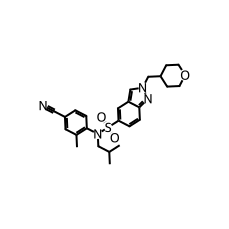 Cc1cc(C#N)ccc1N(CC(C)C)S(=O)(=O)c1ccc2nn(CC3CCOCC3)cc2c1